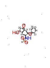 CS(=O)(=O)Nc1cc2c(cc1Oc1ccccc1)C(=O)CC2O